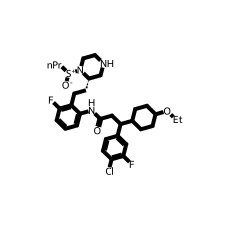 CCC[S+]([O-])N1CCNC[C@@H]1CCc1c(F)cccc1NC(=O)CC(c1ccc(Cl)c(F)c1)C1CCC(OCC)CC1